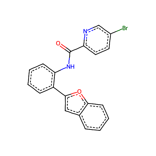 O=C(Nc1ccccc1-c1cc2ccccc2o1)c1ccc(Br)cn1